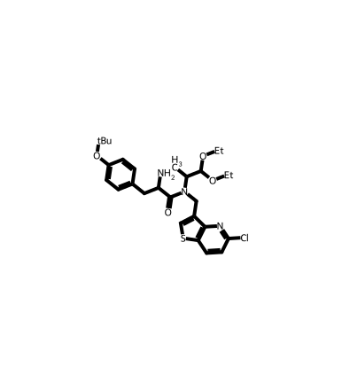 CCOC(OCC)C(C)N(Cc1csc2ccc(Cl)nc12)C(=O)C(N)Cc1ccc(OC(C)(C)C)cc1